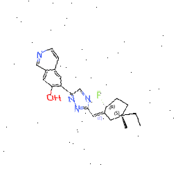 CC[C@@]1(C)CC[C@@H](F)/C(=C\c2ncc(-c3cc4ccncc4cc3O)nn2)C1